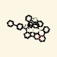 CC1(C)c2ccccc2-c2ccc(N(c3ccccc3-c3ccccc3)c3cccc4c3oc3c(N(C5=CCC(c6ccccc6O)=C5)c5ccc(-c6ccccc6)cc5)cccc34)cc21